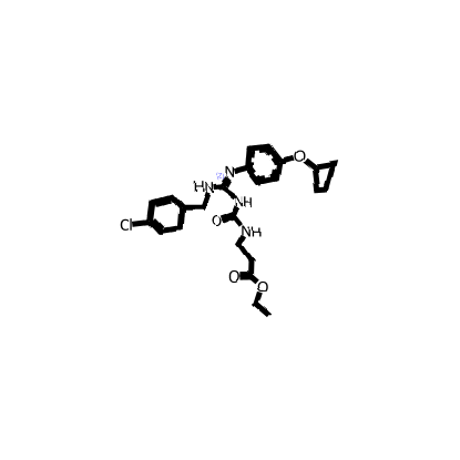 CCOC(=O)CCNC(=O)N/C(=N\c1ccc(OC2CCC2)cc1)NCC1C=CC(Cl)=CC1